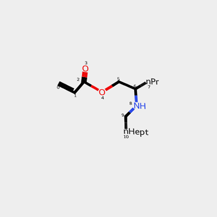 C=CC(=O)OCC(CCC)NCCCCCCCC